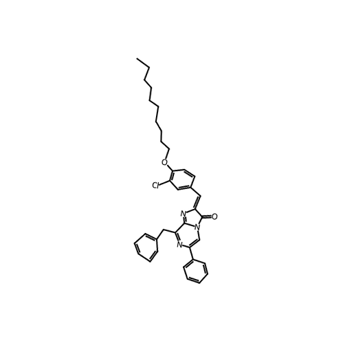 CCCCCCCCCCOc1ccc(/C=C2\N=C3C(Cc4ccccc4)=NC(c4ccccc4)=CN3C2=O)cc1Cl